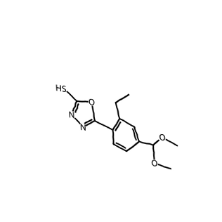 CCc1cc(C(OC)OC)ccc1-c1nnc(S)o1